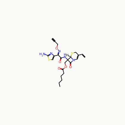 C#CCON=C(C(=O)NC1(COC(=O)CCCCC)C(=O)N2C=C(C=C)CS[C@H]21)c1csc(N)n1